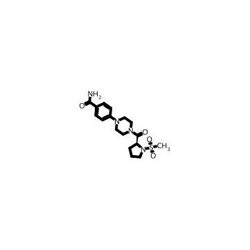 CS(=O)(=O)N1CCC[C@H]1C(=O)N1CCN(c2ccc(C(N)=O)cc2)CC1